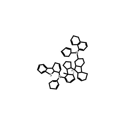 CC12C(N(C3=CCCC=C3)C3C=CCC4c5ccccc5SC43)=CC=CC1[C@]1(C3C=CCCC3C3CCC(N(c4cccc5c4C=CCC5)C4C=CC=CC4)CC31)C1CCCC12